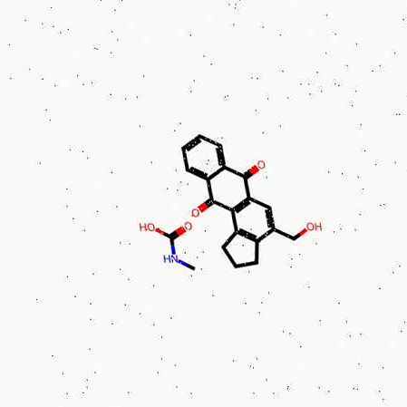 CNC(=O)O.O=C1c2ccccc2C(=O)c2c1cc(CO)c1c2CCC1